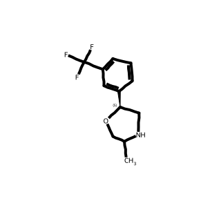 CC1CO[C@@H](c2cccc(C(F)(F)F)c2)CN1